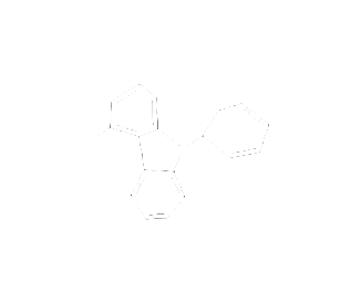 CCc1cccc2c1c1ccccc1p2C1C=CC=CC1